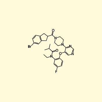 CCN(C(=O)C(C)C)c1cc(F)ccc1Oc1cncnc1N1CCN(C(=O)C2Cc3ccc(Br)cc3C2)CC1